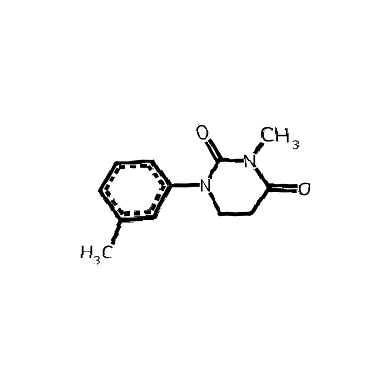 Cc1cccc(N2CCC(=O)N(C)C2=O)c1